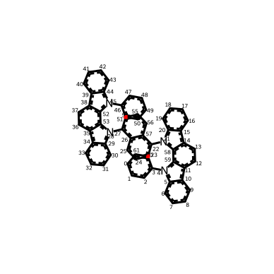 c1ccc(-n2c3ccccc3c3ccc4c5ccccc5n(-c5cccc6c(-n7c8ccccc8c8ccc9c%10ccccc%10n(-c%10ccccc%10)c9c87)cccc56)c4c32)cc1